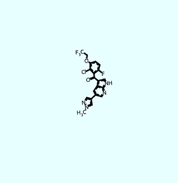 Cn1cc(-c2cnc3[nH]cc(C(=O)c4c(F)ccc(OCC(F)(F)F)c4Cl)c3c2)cn1